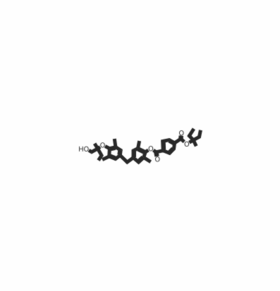 CCC(C)(CC)OC(=O)c1ccc(C(=O)Oc2c(C)cc(Cc3cc(C)c(OC(C)(CC)CO)c(C)c3)cc2C)cc1